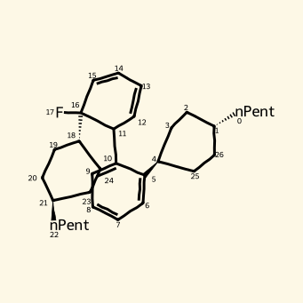 CCCCC[C@H]1CC[C@H](c2ccccc2C2C=CC=CC2(F)[C@H]2CC[C@H](CCCCC)CC2)CC1